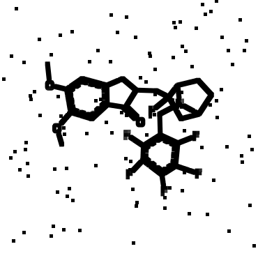 COc1cc2c(cc1OC)C(=O)C(CC1(F)CC3CCC1N3Cc1c(F)c(F)c(F)c(F)c1F)C2